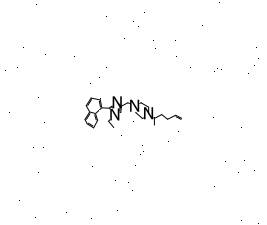 C=CCCC(C)N1CCN(Cc2cn(CC)c(-c3cccc4ccccc34)n2)CC1